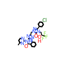 Cc1ccnc(NC(=O)c2ccccc2-n2cnc(Cn3nc(-c4ccc(Cl)cc4)n(CC(O)C(F)(F)F)c3=O)n2)n1